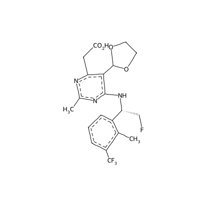 Cc1nc(CC(=O)O)c(C2OCCO2)c(N[C@H](CF)c2cccc(C(F)(F)F)c2C)n1